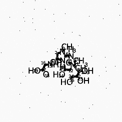 CN1CC(=O)NC1=N.C[N+](C)(C)CCO.NCC(=O)O.OCC(O)CO